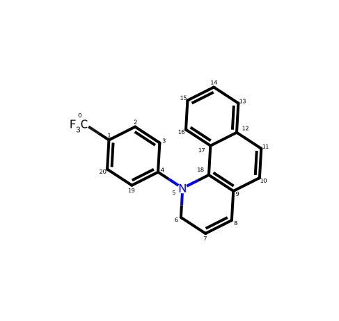 FC(F)(F)c1ccc(N2CC=Cc3ccc4ccccc4c32)cc1